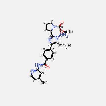 CC(C)c1ccnc(NC(=O)c2ccc(-c3nc(C4CCCN4C(=O)OC(C)(C)C)n(N)c3C(=O)O)cc2)c1